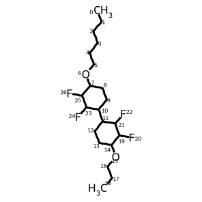 CCCCCCOC1CCC(C2CCC(OCCC)C(F)C2F)C(F)C1F